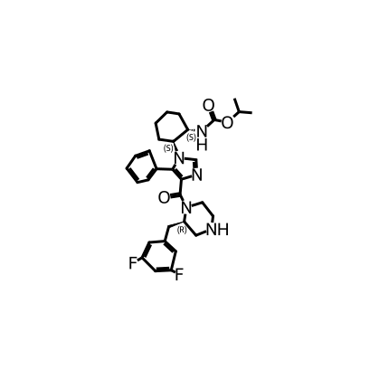 CC(C)OC(=O)N[C@H]1CCCC[C@@H]1n1cnc(C(=O)N2CCNC[C@H]2Cc2cc(F)cc(F)c2)c1-c1ccccc1